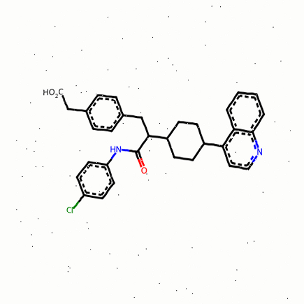 O=C(O)Cc1ccc(CC(C(=O)Nc2ccc(Cl)cc2)C2CCC(c3ccnc4ccccc34)CC2)cc1